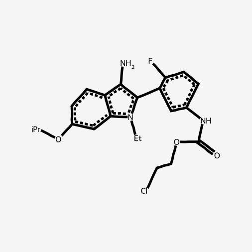 CCn1c(-c2cc(NC(=O)OCCCl)ccc2F)c(N)c2ccc(OC(C)C)cc21